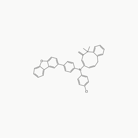 C=C1/C=C(N(c2ccc(Cl)cc2)c2ccc(-c3ccc4oc5ccccc5c4c3)cc2)\C=C/Cc2ccccc2C1(C)C